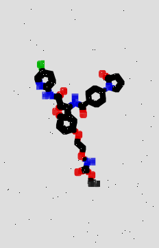 CC(C)(C)OC(=O)NOCCOc1ccc2oc(C(=O)Nc3ccc(Cl)cn3)c(NC(=O)[C@H]3CC[C@H](N4CCCC4=O)CC3)c2c1